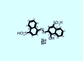 O=S(=O)(O)c1ccc(N=Nc2cc(S(=O)(=O)O)c3ccccc3c2O)c2ccccc12.[Na].[Na]